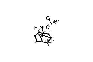 Cl.NC12CC3CC(CC(C3)C1)C2.O=[N+]([O-])O